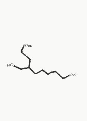 CCCCCCCCCCCCCCCC(CO)CCCCCCCCCCCC